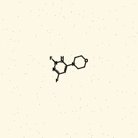 FC1=NN(F)NC(N2CCOCC2)=C1